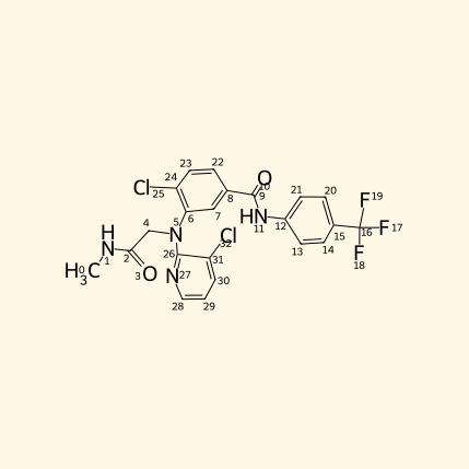 CNC(=O)CN(c1cc(C(=O)Nc2ccc(C(F)(F)F)cc2)ccc1Cl)c1ncccc1Cl